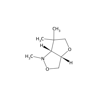 CN1OC[C@H]2OCC(C)(C)[C@H]21